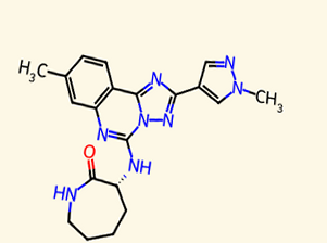 Cc1ccc2c(c1)nc(N[C@@H]1CCCCNC1=O)n1nc(-c3cnn(C)c3)nc21